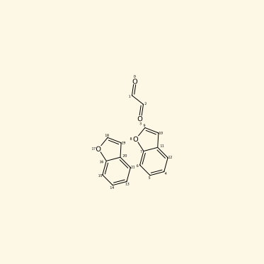 O=CC=O.c1ccc2occc2c1.c1ccc2occc2c1